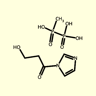 CP(=O)(O)P(=O)(O)O.O=C(CCO)n1ccnc1